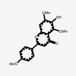 COc1ccc(-c2cc(=O)c3c(OC)c(O)c(OC)cc3o2)cc1